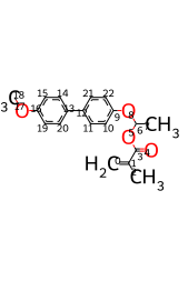 C=C(C)C(=O)OC(C)Oc1ccc(-c2ccc(OC)cc2)cc1